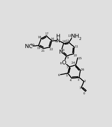 C=CCc1cc(C)c(Oc2ccc(N)c(Nc3ccc(C#N)cc3)n2)c(C)c1